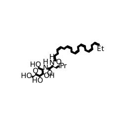 CC/C=C\C/C=C\C/C=C\C/C=C\C/C=C\C/C=C\CCC(=O)N[C@@H](CC(C)C)C(=O)N[C@@H]1[C@@H](O)[C@H](O)[C@@H](CO)O[C@H]1O